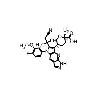 COc1cc(-n2c(C(C)(C)CC#N)c([C@@H]3CC[C@@](C)(C(=O)O)OC3)c3nc4[nH]ncc4cc32)ccc1F